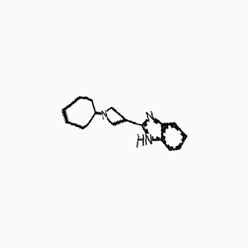 c1ccc2[nH]c(C3CN(C4CCCCC4)C3)nc2c1